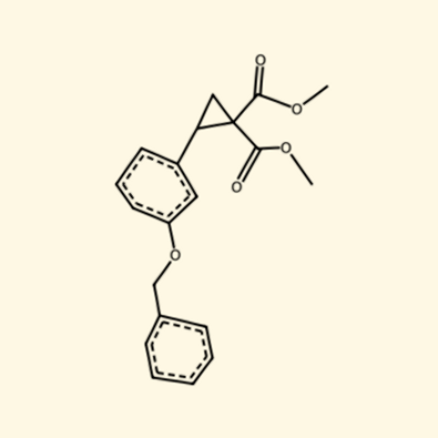 COC(=O)C1(C(=O)OC)CC1c1cccc(OCc2ccccc2)c1